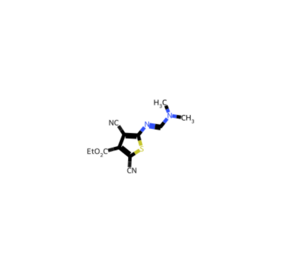 CCOC(=O)c1c(C#N)sc(N=CN(C)C)c1C#N